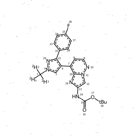 [2H]C([2H])([2H])n1cc(-c2ccnn3cc(NC(=O)OC(C)(C)C)nc23)c(-c2ccc(F)cc2)n1